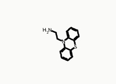 NCCN1c2ccccc2Sc2ccccc21